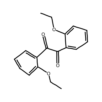 CCOc1ccccc1C(=O)C(=O)c1ccccc1OCC